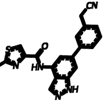 Cc1nc(C(=O)Nc2cc(-c3cccc(CC#N)c3)cc3[nH]ncc23)cs1